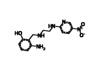 Nc1cccc(O)c1CNCCNc1ccc([N+](=O)[O-])cn1